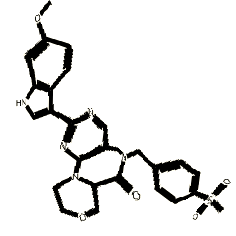 COc1ccc2c(-c3ncc4c(n3)N3CCOCC3C(=O)N4Cc3ccc(S(C)(=O)=O)cc3)c[nH]c2c1